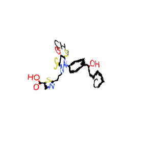 COC1C(=S)N(CCCc2ncc(C(=O)O)s2)N(c2ccc(C(O)Cc3ccccc3)cc2)C1=S